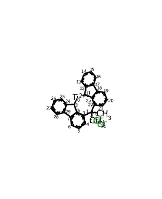 CC1(C)c2cccc3c2[CH]([Ti+2][CH]2c4ccccc4-c4cccc1c42)c1ccccc1-3.[Cl-].[Cl-]